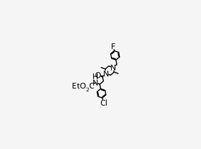 CCOC(=O)NC(CC(=O)N1CC(C)N(Cc2ccc(F)cc2)CC1C)c1ccc(Cl)cc1